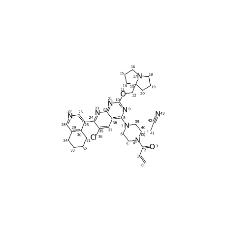 C=CC(=O)N1CCN(c2nc(OCC34CCCN3CCC4)nc3nc(-c4cncc5c4CCCC5)c(Cl)cc23)C[C@@H]1CC#N